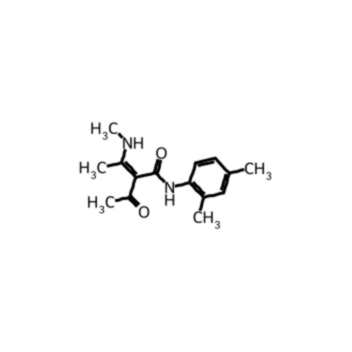 CNC(C)=C(C(C)=O)C(=O)Nc1ccc(C)cc1C